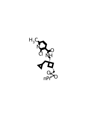 CCCS(=O)(=O)C[C@H]1C[C@](CNC(=O)c2ccc(C)nc2Cl)(CC2CC2)C1